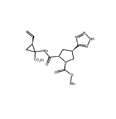 C=C[C@@H]1CC1(NC(=O)C1C[C@@H](c2nn[nH]n2)CN1C(=O)OC(C)(C)C)C(=O)OCC